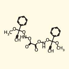 C#CC(OC)(ONOC(=O)C(=O)ONOC(C#C)(OC)c1ccccc1)c1ccccc1